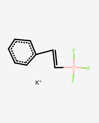 F[B-](F)(F)/C=C/c1ccccc1.[K+]